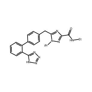 CCNC(=O)c1nc(Cc2ccc(-c3ccccc3-c3nnn[nH]3)cc2)n(C(C)C)n1